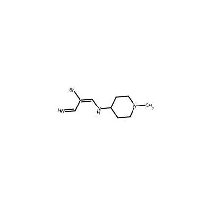 CN1CCC(N/C=C(/Br)C=N)CC1